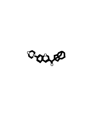 O=C(C1=Cc2ccc(N3CCOCC3)cc2OC1)C12CC3CCCC(C1)C(C3)C2